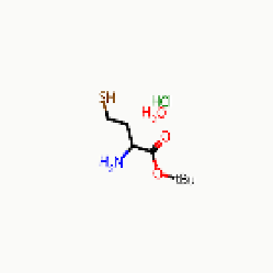 CC(C)(C)OC(=O)C(N)CCS.Cl.O